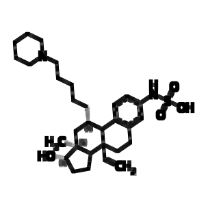 C=CC12CCc3cc(NS(=O)(=O)O)ccc3C1[C@@H](CCCCCN1CCCCC1)C[C@@]1(C)C2CC[C@@H]1O